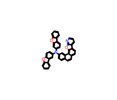 c1ccc2c(c1)oc1cc(N(c3ccc4oc5ccccc5c4c3)c3ccc4ccc5ccc6c7cccnc7oc6c5c4c3)ccc12